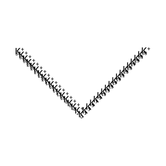 [K+].[K+].[K+].[K+].[K+].[K+].[K+].[K+].[K+].[K+].[K+].[K+].[K+].[K+].[K+].[K+].[K+].[K+].[K+].[K+].[K+].[K+].[K+].[K+].[K+].[K+].[K+].[K+].[K+].[K+].[K+].[K+].[K+].[K+].[K+]